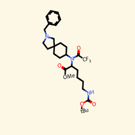 COC(=O)C(CCCCNC(=O)OC(C)(C)C)N(C(=O)C(F)(F)F)C1CCC2(CC1)CCN(Cc1ccccc1)C2